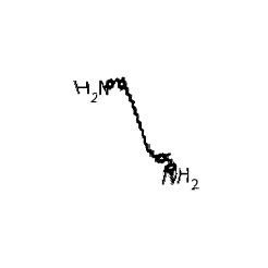 Cc1cc(CCCCCCCCCCCCCCCCCCCCc2ccc(Cc3ccc(N)cc3)c(C)c2)ccc1Cc1ccc(N)cc1